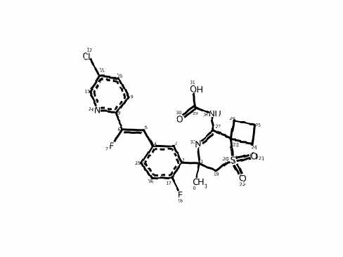 CC1(c2cc(/C=C(\F)c3ccc(Cl)cn3)ccc2F)CS(=O)(=O)C2(CCC2)C(NC(=O)O)=N1